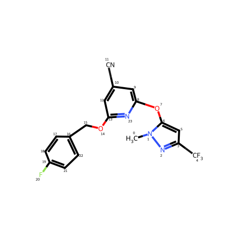 Cn1nc(C(F)(F)F)cc1Oc1cc(C#N)cc(OCc2ccc(F)cc2)n1